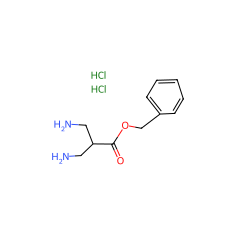 Cl.Cl.NCC(CN)C(=O)OCc1ccccc1